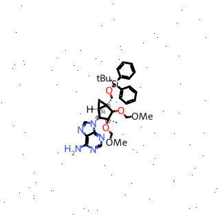 COCOC1[C@]2(CO[Si](c3ccccc3)(c3ccccc3)C(C)(C)C)C[C@@H]2[C@@H](n2cnc3c(N)ncnc32)[C@]1(C)OCOC